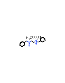 CCOC(C)=O.c1ccc(CNCCNCc2ccccc2)cc1